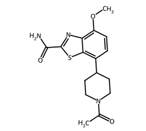 COc1ccc(C2CCN(C(C)=O)CC2)c2sc(C(N)=O)nc12